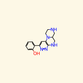 Oc1ccccc1-c1cc2c(nn1)NCC1CNCCN21